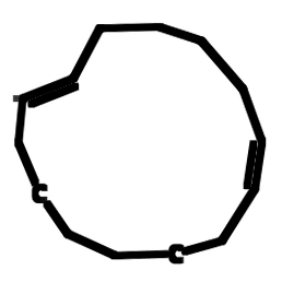 [C]1=C/CCCC/C=C\CCCCCC/1